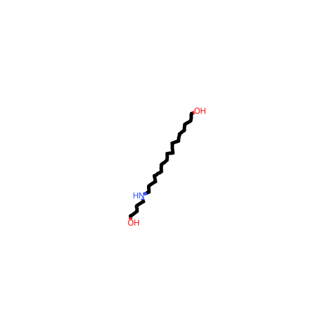 OCCCCCCCCCCCCCCCCNCCCCO